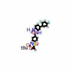 CC(C)(C)OC(=O)N=S(=O)(c1ccc(C(=O)Nc2cc(-c3ccc(F)cc3F)ccc2N)cc1)C1CC1